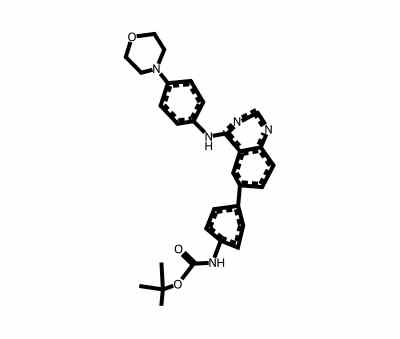 CC(C)(C)OC(=O)Nc1ccc(-c2ccc3ncnc(Nc4ccc(N5CCOCC5)cc4)c3c2)cc1